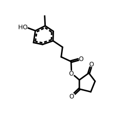 Cc1cc(CCC(=O)OC2C(=O)CCC2=O)ccc1O